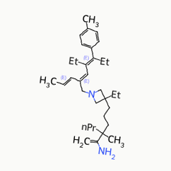 C=C(N)C(C)(CCC)CCCC1(CC)CN(CC(/C=C/C)=C/C(CC)=C(\CC)c2ccc(C)cc2)C1